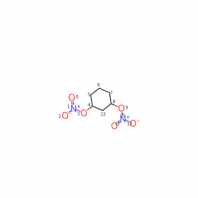 O=[N+]([O-])OC1CCCC(O[N+](=O)[O-])C1